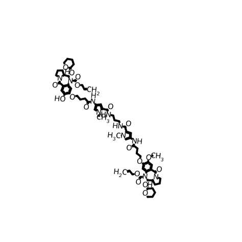 C=CCOC(=O)N1c2cc(OCCCC(=O)Nc3cc(C(=O)NCCCNC(=O)c4cc(NC(=O)CCCOc5cc6c(cc5OC)C(=O)N5CCC[C@H]5[C@H](OC5CCCCO5)N6C(=O)OCC=C)cn4C)n(C)c3)c(O)cc2C(=O)N2CCC[C@H]2[C@@H]1OC1CCCCO1